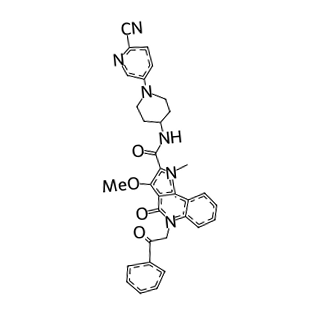 COc1c(C(=O)NC2CCN(c3ccc(C#N)nc3)CC2)n(C)c2c1c(=O)n(CC(=O)c1ccccc1)c1ccccc21